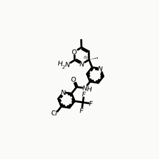 CC1=C[C@@](C)(c2cc(NC(=O)c3ncc(Cl)cc3C(F)(F)F)ccn2)N=C(N)O1